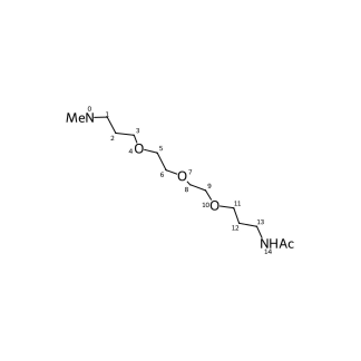 CNCCCOCCOCCOCCCNC(C)=O